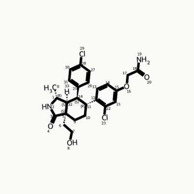 C[C@H]1NC(=O)[C@]2(CCO)CC[C@@H](c3ccc(OCC(N)=O)cc3Cl)[C@H](c3ccc(Cl)cc3)[C@H]12